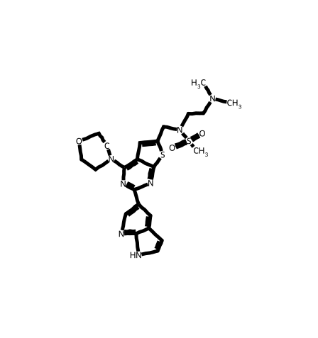 CN(C)CCN(Cc1cc2c(N3CCOCC3)nc(-c3cnc4[nH]ccc4c3)nc2s1)S(C)(=O)=O